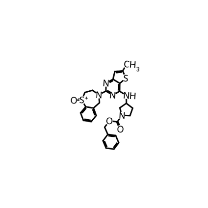 Cc1cc2nc(N3CC[S+]([O-])c4ccccc4C3)nc(NC3CCN(C(=O)OCc4ccccc4)C3)c2s1